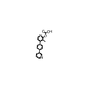 Cc1c(-c2ccc(-c3cccnc3)cc2)ccnc1OC(=O)O